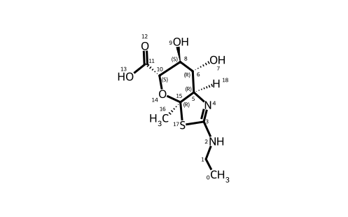 CCNC1=N[C@@H]2[C@@H](O)[C@H](O)[C@@H](C(=O)O)O[C@]2(C)S1